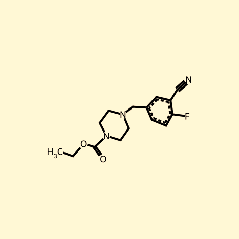 CCOC(=O)N1CCN(Cc2ccc(F)c(C#N)c2)CC1